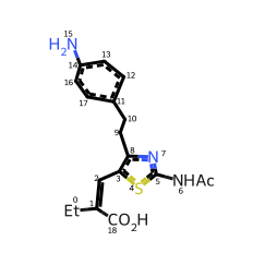 CCC(=Cc1sc(NC(C)=O)nc1CCc1ccc(N)cc1)C(=O)O